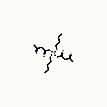 CCCC[O][Ti]([O]CCCC)([O]C(=O)CC(C)=O)[O]C(=O)CC(C)=O